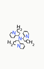 C=CC(c1ccccn1)N(C(C=C)c1ccccn1)C(C=C)c1ccccn1